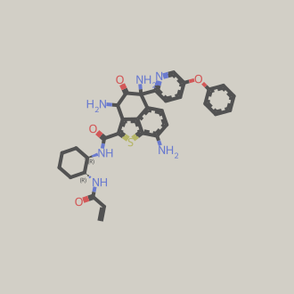 C=CC(=O)N[C@@H]1CCCC[C@H]1NC(=O)c1sc2c(N)ccc3c2c1C(N)C(=O)C3(N)c1ccc(Oc2ccccc2)cn1